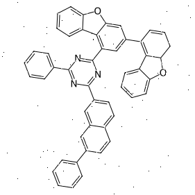 C1=CC(c2cc(-c3nc(-c4ccccc4)nc(-c4ccc5ccc(-c6ccccc6)cc5c4)n3)c3c(c2)oc2ccccc23)=C2c3ccccc3OC2C1